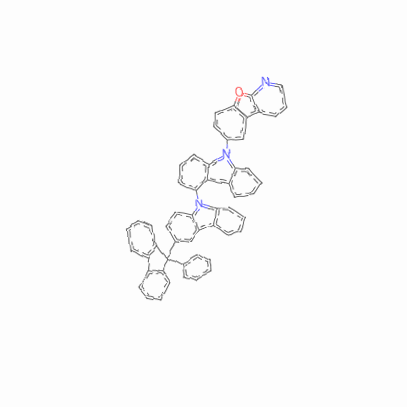 c1ccc(C2(c3ccc4c(c3)c3ccccc3n4-c3cccc4c3c3ccccc3n4-c3ccc4oc5ncccc5c4c3)c3ccccc3-c3ccccc32)cc1